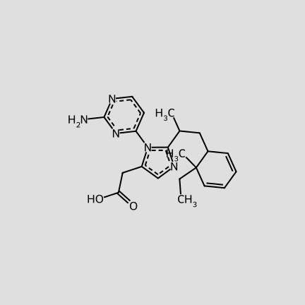 CCC1(C)C=CC=CC1CC(C)c1ncc(CC(=O)O)n1-c1ccnc(N)n1